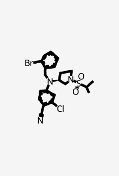 CC(C)S(=O)(=O)N1CC[C@H](N(Cc2ccccc2Br)c2ccc(C#N)c(Cl)c2)C1